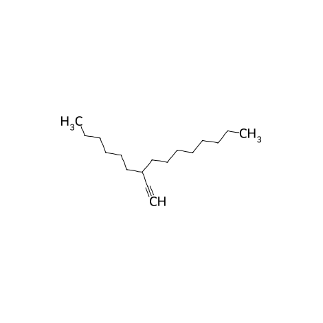 C#CC(CCCCCC)CCCCCCCC